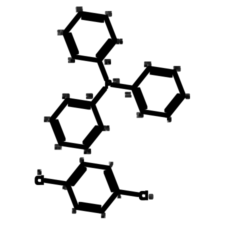 Clc1ccc(Cl)cc1.c1ccc(P(c2ccccc2)c2ccccc2)cc1